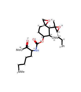 CNCCCCC(NC(=O)OC1CC[C@]2(CO2)C(C2(C)O[C@@H]2CCC(C)C)C1OC)C(=O)OC